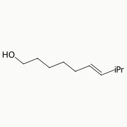 CC(C)C=CCCCCCO